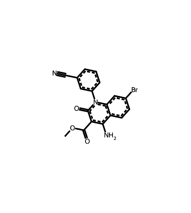 COC(=O)c1c(N)c2ccc(Br)cc2n(-c2cccc(C#N)c2)c1=O